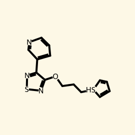 C1=C[SH](CCCOc2nsnc2-c2cccnc2)C=C1